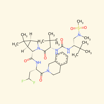 CN(C[C@@H](NC(=O)N[C@H](C(=O)N1C[C@H]2[C@@H]([C@H]1C(=O)N[C@@H](CC(F)F)C(=O)N1CCc3ccccc3C1)C2(C)C)C(C)(C)C)C(C)(C)C)S(C)(=O)=O